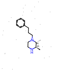 C[C@@H]1[C@@H](C)NCCN1CCCc1ccccc1